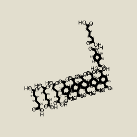 O=C(O)CCCCC(=O)O.O=C(O)CCCCC(=O)O.O=C(O)CCCCC(=O)O.O=C(O)CCCCC(=O)O.O=C(O)c1ccc(C(=O)O)cc1.O=C(O)c1ccc(C(=O)O)cc1.O=C(O)c1ccc(C(=O)O)cc1.O=C(O)c1ccc(C(=O)O)cc1.O=C(O)c1ccc(C(=O)O)cc1.O=C(O)c1ccc(C(=O)O)cc1